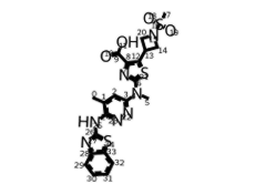 Cc1cc(N(C)c2nc(C(=O)O)c(C3CN(S(C)(=O)=O)C3)s2)nnc1Nc1nc2ccccc2s1